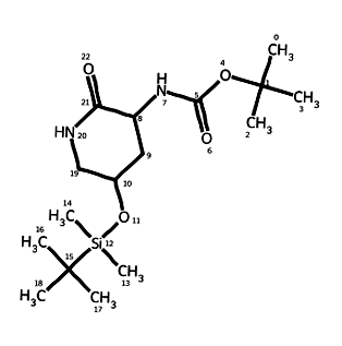 CC(C)(C)OC(=O)NC1CC(O[Si](C)(C)C(C)(C)C)CNC1=O